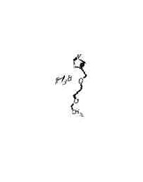 B.CCOCCOCc1cncs1